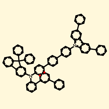 c1ccc(-c2cccc(-c3ccccc3N(c3ccc(-c4ccc(-c5ccc(-n6c7ccc(-c8ccccc8)cc7c7cc(-c8ccccc8)ccc76)cc5)cc4)cc3)c3ccc4c(c3)C(c3ccccc3)(c3ccccc3)c3ccccc3-4)c2)cc1